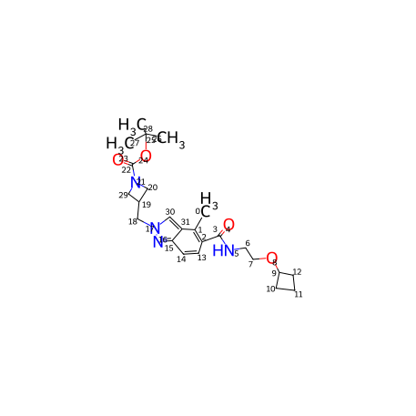 Cc1c(C(=O)NCCOC2CCC2)ccc2nn(CC3CN(C(=O)OC(C)(C)C)C3)cc12